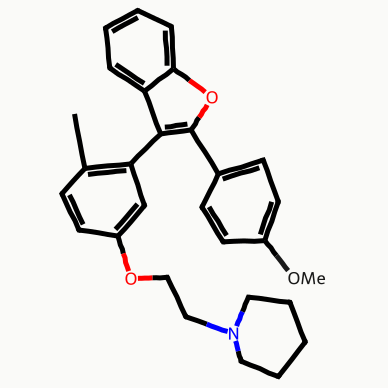 COc1ccc(-c2oc3ccccc3c2-c2cc(OCCN3CCCCC3)ccc2C)cc1